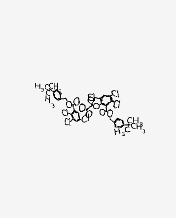 CC(C)(C)c1ccc(COC(=O)c2c(Cl)c(Cl)cc(Cl)c2OC(=O)C(=O)Oc2c(Cl)cc(Cl)c(Cl)c2C(=O)OCc2ccc(C(C)(C)C)cc2)cc1